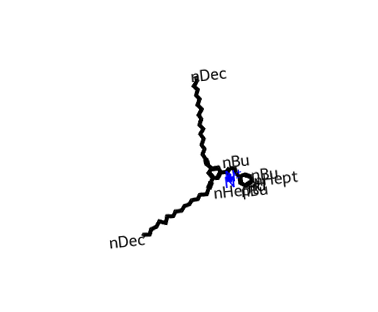 CCCCCCCCCCCCCCCCCCCCCCCCCCC#Cc1cc(C#CCCCCCCCCCCCCCCCCCCCCCCCCCC)cc(C2=C(CCCC)C=C(c3cc(CCCC)cc(CCCC)c3)[N+]2=[N-])c1.CCCCCC[CH2][Pd][CH2]CCCCCC